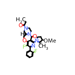 C=CC(=O)N1CCN2C(=O)c3c(N4CCC(OC)[C@@H]4C)nc(-c4ccccc4F)c(F)c3OC[C@H]2C1